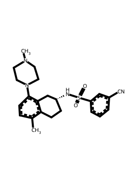 Cc1ccc(N2CCN(C)CC2)c2c1CC[C@@H](NS(=O)(=O)c1cccc(C#N)c1)C2